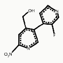 O=[N+]([O-])c1cc(CO)c(-c2ccncc2F)cn1